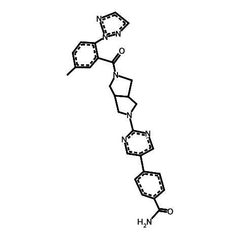 Cc1ccc(-n2nccn2)c(C(=O)N2CC3CN(c4ncc(-c5ccc(C(N)=O)cc5)cn4)CC3C2)c1